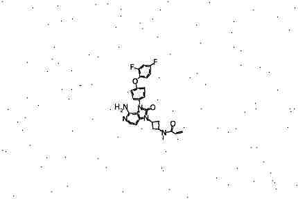 C=CC(=O)N(C)[C@H]1C[C@@H](n2c(=O)n(-c3ccc(Oc4ccc(F)cc4F)cc3)c3c(N)nccc32)C1